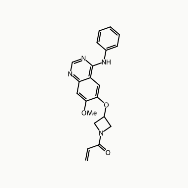 C=CC(=O)N1CC(Oc2cc3c(Nc4ccccc4)ncnc3cc2OC)C1